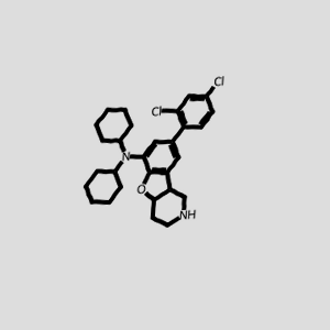 Clc1ccc(-c2cc3c(c(N(C4CCCCC4)C4CCCCC4)c2)OC2CCNCC32)c(Cl)c1